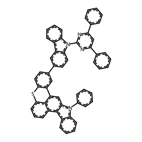 c1ccc(-c2cc(-c3ccccc3)nc(-n3c4ccccc4c4cc(-c5ccc6c(c5)-c5cc7c(c8cccc(c58)S6)c5ccccc5n7-c5ccccc5)ccc43)n2)cc1